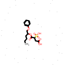 CCCCC(COc1ccccc1)OC(=O)C(CC(=O)O)S(=O)(=O)O